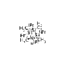 CC(C)[Si]1(C)[Si](C)(C(C)C)[Si](C)(C(C)C)[Si]1(C)C(C)C